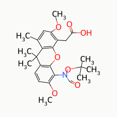 COc1cc(C)c2c(c1CC(=O)O)Oc1c(ccc(OC)c1N(C=O)OC(C)(C)C)C2(C)C